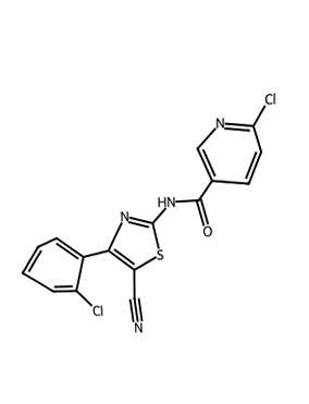 N#Cc1sc(NC(=O)c2ccc(Cl)nc2)nc1-c1ccccc1Cl